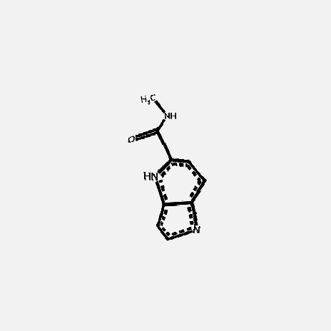 CNC(=O)c1ccc2nccc-2[nH]1